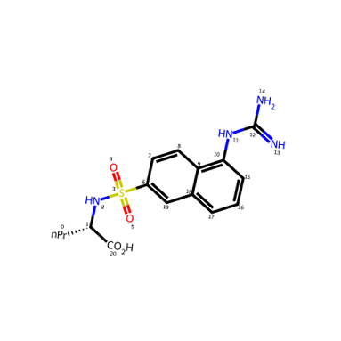 CCC[C@H](NS(=O)(=O)c1ccc2c(NC(=N)N)cccc2c1)C(=O)O